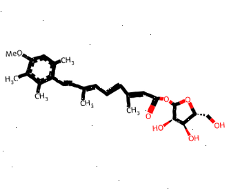 COc1cc(C)c(/C=C/C(C)=C/C=C/C(C)=C/C(=O)OC2O[C@H](CO)[C@@H](O)[C@H]2O)c(C)c1C